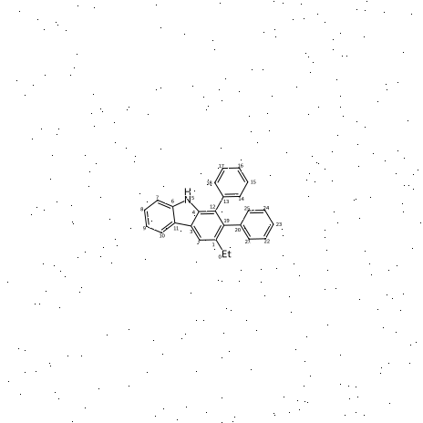 CCc1cc2c([nH]c3ccccc32)c(-c2ccccc2)c1-c1ccccc1